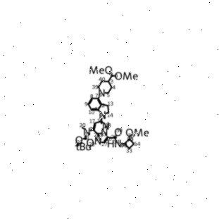 COC(OC)C1CCN(c2cccc3c2CCN3c2cc(N(C)C(=O)OC(C)(C)C)c3ncc(C(=O)N[C@@H]4CC[C@H]4OC)n3n2)CC1